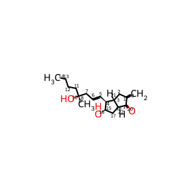 C=C1C[C@H]2[C@H](/C=C/C[C@](C)(O)CCCC)[C@H](O)C[C@@H]2C1=O